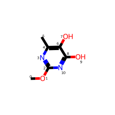 COc1nc(C)c(O)c(O)n1